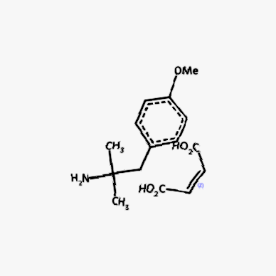 COc1ccc(CC(C)(C)N)cc1.O=C(O)/C=C\C(=O)O